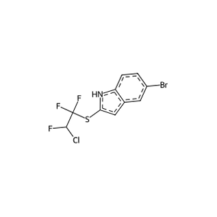 FC(Cl)C(F)(F)Sc1cc2cc(Br)ccc2[nH]1